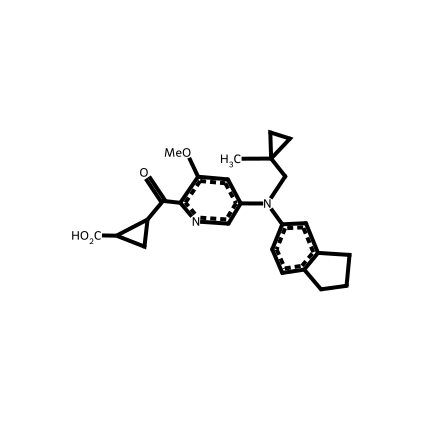 COc1cc(N(CC2(C)CC2)c2ccc3c(c2)CCC3)cnc1C(=O)C1CC1C(=O)O